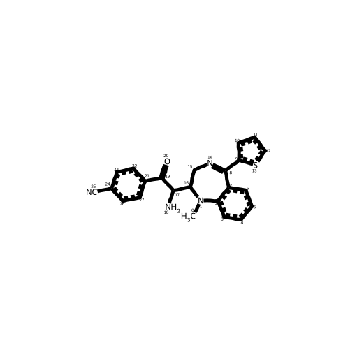 CN1c2ccccc2C(c2cccs2)=NCC1C(N)C(=O)c1ccc(C#N)cc1